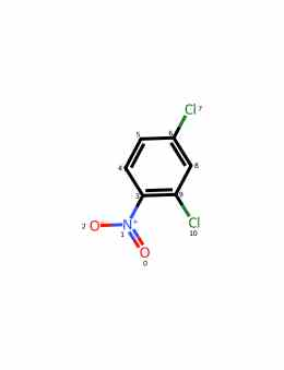 O=[N+]([O-])c1[c]cc(Cl)cc1Cl